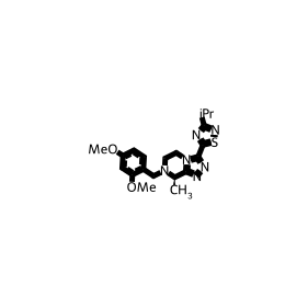 COc1ccc(CN2CCn3c(-c4nc(C(C)C)ns4)nnc3[C@@H]2C)c(OC)c1